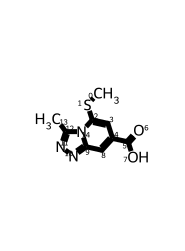 CSc1cc(C(=O)O)cc2nnc(C)n12